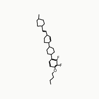 CCCCOc1ccc(C2CCC(C3C=CC(/C=C/C4CCC(C)CC4)CC3)CC2)c(F)c1F